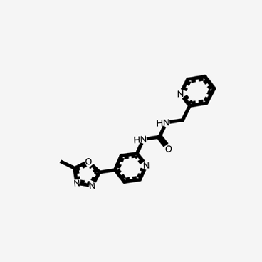 Cc1nnc(-c2ccnc(NC(=O)NCc3ccccn3)c2)o1